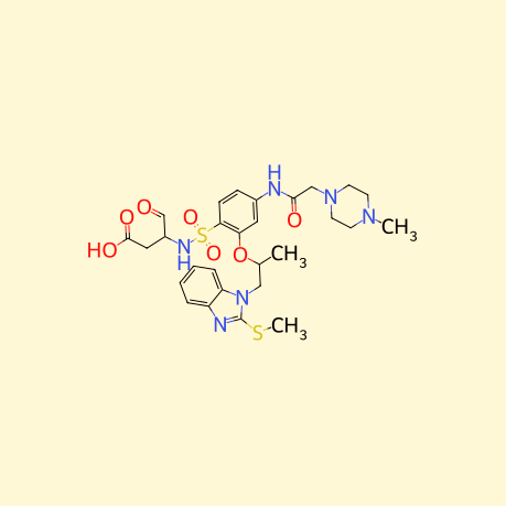 CSc1nc2ccccc2n1CC(C)Oc1cc(NC(=O)CN2CCN(C)CC2)ccc1S(=O)(=O)NC(C=O)CC(=O)O